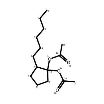 CCCCCCC1CCCC1(OC(C)=O)OC(C)=O